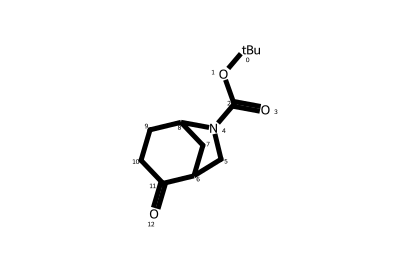 CC(C)(C)OC(=O)N1CC2CC1CCC2=O